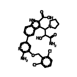 NC(=O)C(O)C(c1c(C(=O)O)[nH]c2ccc(-c3cnc(N)c(OCc4c(Cl)cccc4Cl)c3)cc12)N1CCCC1